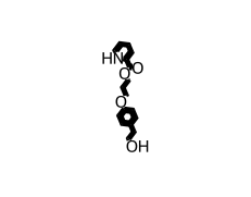 O=C(OCCCOc1ccc(CCO)cc1)C1=CCC=CN1